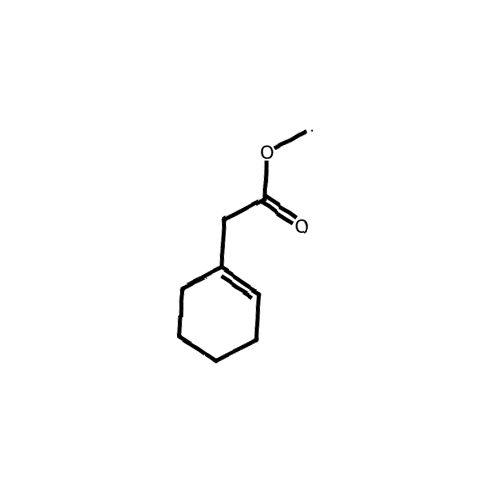 [CH2]OC(=O)CC1=CCCCC1